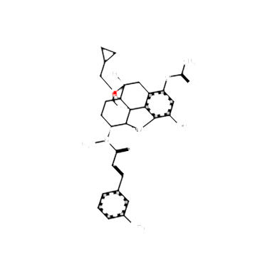 CC(=O)Oc1cc(O)c2c3c1C[C@@H]1[C@@H]4CC[C@H](N(C)C(=O)C=Cc5cccc(C)c5)[C@H](O2)[C@]34CCN1CC1CC1